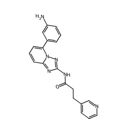 Nc1cccc(-c2cccc3nc(NC(=O)CCc4cccnc4)nn23)c1